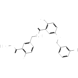 COC(=O)c1cc(CNC(=O)c2cc(OCc3cccc(Cl)c3)ccc2Cl)ccc1F